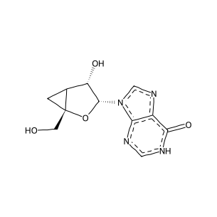 O=c1[nH]cnc2c1ncn2[C@@H]1O[C@]2(CO)CC2[C@@H]1O